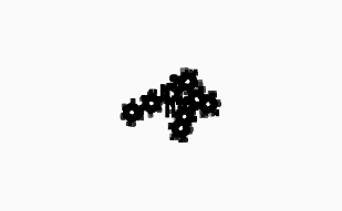 c1ccc(-c2ccc(C3=Nc4sc5ccccc5c4C(n4c5cc6ccccc6cc5c5c6ccccc6ccc54)N3)cc2)cc1